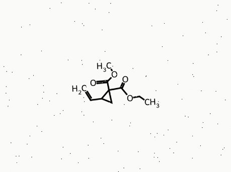 C=CC1CC1(C(=O)OC)C(=O)OCC